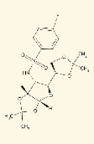 CC1(C)O[C@H]2O[C@H]([C@H]3COC(C)(C)O3)[C@@H](NS(=O)(=O)c3ccc(F)cc3)[C@H]2O1